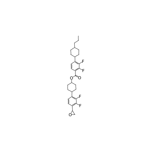 CCCC1CCC(c2ccc(C(=O)OC3CCC(c4ccc(C5CO5)c(F)c4F)CC3)c(F)c2F)CC1